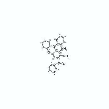 Nc1c(C(=O)c2ccccc2)cc(Oc2ccccc2)c(Oc2ccccc2)c1N